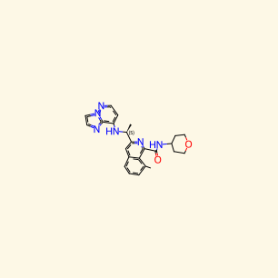 Cc1cccc2cc([C@H](C)Nc3ccnn4ccnc34)nc(C(=O)NC3CCOCC3)c12